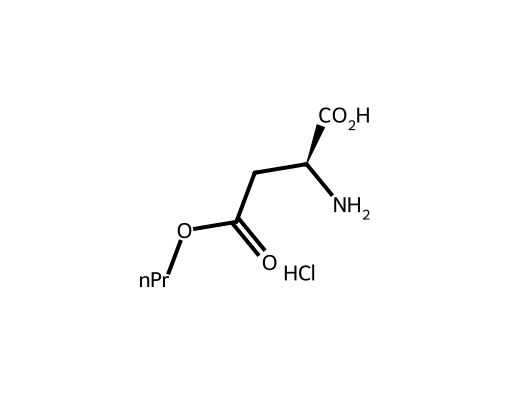 CCCOC(=O)C[C@H](N)C(=O)O.Cl